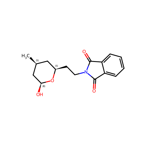 C[C@H]1C[C@@H](CCN2C(=O)c3ccccc3C2=O)O[C@@H](O)C1